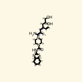 C=C/C(=C\C(F)=C(/N)N1CCN(C(=O)Nc2nc3ccccc3s2)CC1)C[C@@H](O)CO